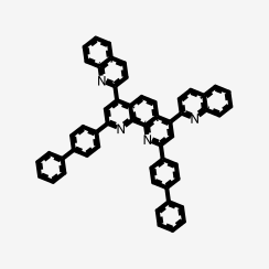 c1ccc(-c2ccc(-c3cc(-c4ccc5ccccc5n4)c4ccc5c(-c6ccc7ccccc7n6)cc(-c6ccc(-c7ccccc7)cc6)nc5c4n3)cc2)cc1